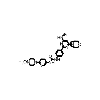 CC(C)Nc1cc(N2C3CCC2COC3)nc(-c2ccc(NC(=O)Nc3ccc(N4CCN(C)CC4)nc3)cc2)n1